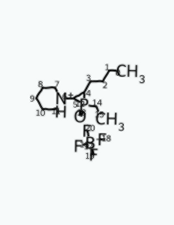 CCCCC1C([NH+]2CCCCC2)P1(=O)CC.F[B-](F)(F)F